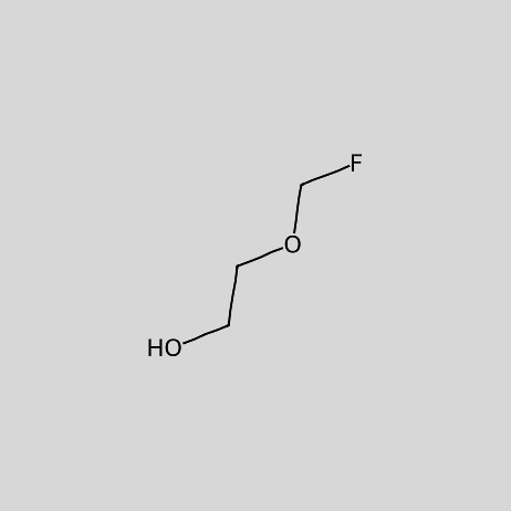 OCCOCF